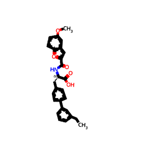 CCc1cccc(-c2ccc(C[C@H](NC(=O)c3cc4cc(OC)ccc4o3)C(=O)O)cc2)c1